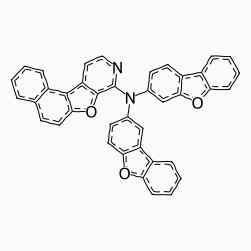 c1ccc2c(c1)ccc1oc3c(N(c4ccc5c(c4)oc4ccccc45)c4ccc5oc6ccccc6c5c4)nccc3c12